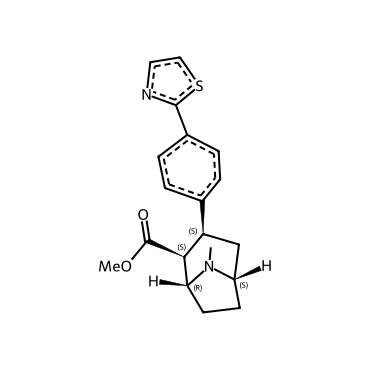 COC(=O)[C@H]1[C@@H](c2ccc(-c3nccs3)cc2)C[C@@H]2CC[C@H]1N2C